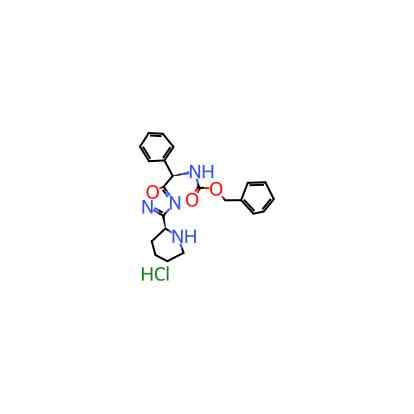 Cl.O=C(N[C@H](c1ccccc1)c1nc([C@@H]2CCCCN2)no1)OCc1ccccc1